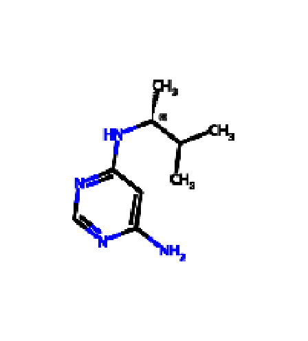 CC(C)[C@@H](C)Nc1cc(N)ncn1